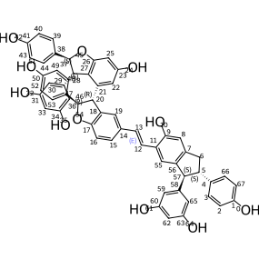 Oc1ccc([C@H]2Cc3cc(O)c(/C=C/c4ccc5c(c4)[C@@H](c4cc(O)cc6c4[C@H](c4cc(O)cc(O)c4)[C@@H](c4ccc(O)cc4)O6)[C@H](c4ccc(O)cc4)O5)cc3[C@@H]2c2cc(O)cc(O)c2)cc1